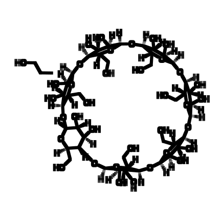 CCCO.OC[C@H]1O[C@@H]2O[C@H]3[C@H](O)[C@@H](O)[C@@H](O[C@H]4[C@H](O)[C@@H](O)[C@@H](O[C@H]5[C@H](O)[C@@H](O)[C@@H](O[C@H]6[C@H](O)[C@@H](O)[C@@H](O[C@H]7[C@H](O)[C@@H](O)[C@@H](O[C@H]8[C@H](O)[C@@H](O)[C@@H](O[C@H]1[C@H](O)[C@H]2O)O[C@@H]8CO)O[C@@H]7CO)O[C@@H]6CO)O[C@@H]5CO)O[C@@H]4CO)O[C@@H]3CO